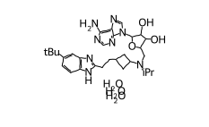 CC(C)N(CC1OC(n2cnc3c(N)ncnc32)C(O)C1O)C1CC(CCc2nc3cc(C(C)(C)C)ccc3[nH]2)C1.O.O.O